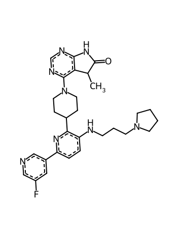 CC1C(=O)Nc2ncnc(N3CCC(c4nc(-c5cncc(F)c5)ccc4NCCCN4CCCC4)CC3)c21